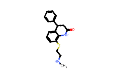 CNCCSc1cccc2c1NC(=O)CC2c1ccccc1